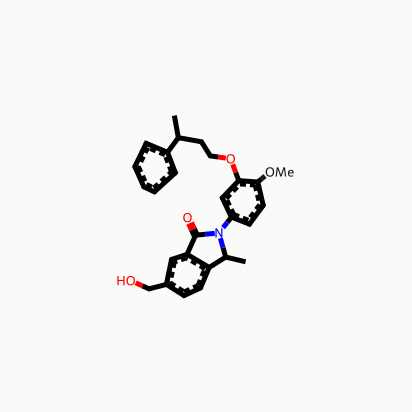 COc1ccc(N2C(=O)c3cc(CO)ccc3C2C)cc1OCCC(C)c1ccccc1